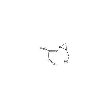 C=CC(=O)OC.OCC1CO1